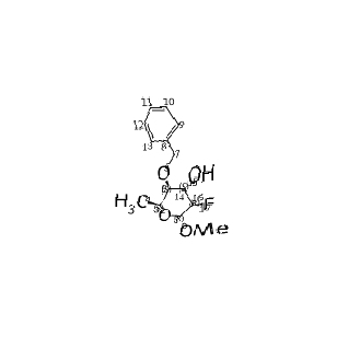 CO[C@@H]1O[C@@H](C)[C@@H](OCc2ccccc2)[C@H](O)[C@H]1F